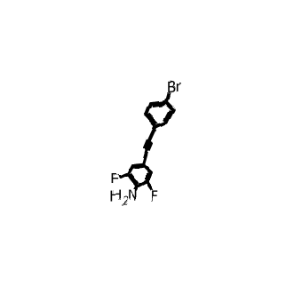 Nc1c(F)cc(C#Cc2ccc(Br)cc2)cc1F